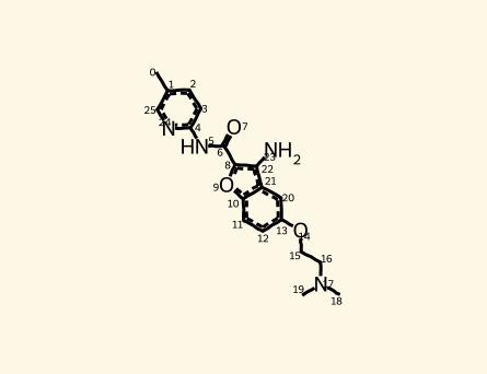 Cc1ccc(NC(=O)c2oc3ccc(OCCN(C)C)cc3c2N)nc1